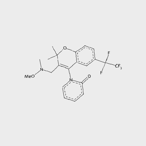 CON(C)CC1=C(n2ccccc2=O)c2cc(C(F)(F)C(F)(F)F)ccc2OC1(C)C